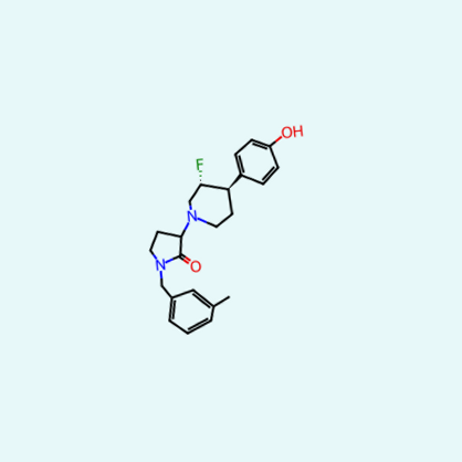 Cc1cccc(CN2CCC(N3CC[C@H](c4ccc(O)cc4)[C@@H](F)C3)C2=O)c1